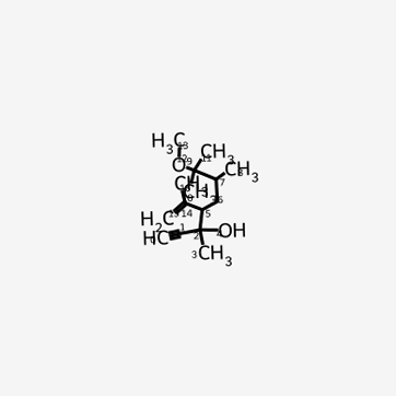 C#CC(C)(O)C(CC(C)C(C)(C)OC)C(=C)C